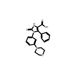 O=C(O)c1[nH]c(=O)n(-c2cccc(N3CCOCC3)c2)c1-c1ccccc1